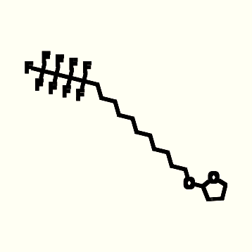 FC(F)(F)C(F)(F)C(F)(F)C(F)(F)CCCCCCCCCCCOC1CCCO1